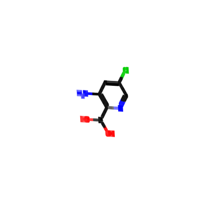 Nc1cc(Cl)cnc1B(O)O